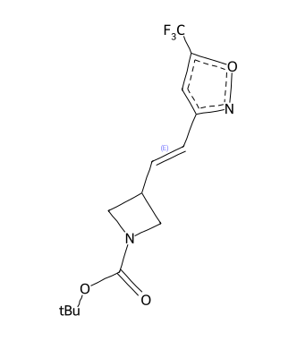 CC(C)(C)OC(=O)N1CC(/C=C/c2cc(C(F)(F)F)on2)C1